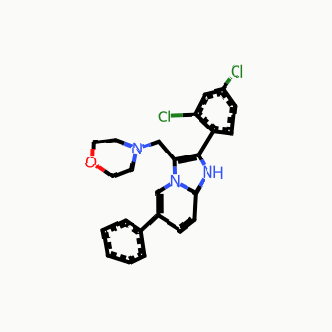 Clc1ccc(C2=C(CN3CCOCC3)N3C=C(c4ccccc4)C=CC3N2)c(Cl)c1